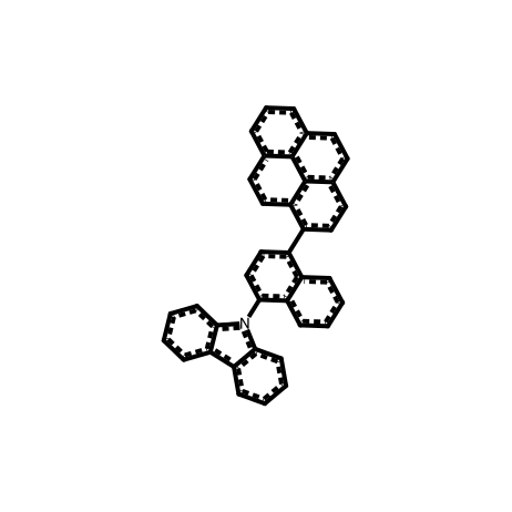 c1cc2ccc3ccc(-c4ccc(-n5c6ccccc6c6ccccc65)c5ccccc45)c4ccc(c1)c2c34